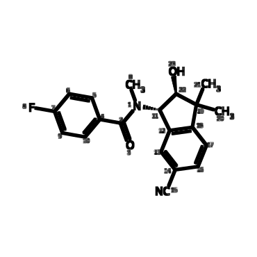 CN(C(=O)c1ccc(F)cc1)[C@H]1c2cc(C#N)ccc2C(C)(C)[C@@H]1O